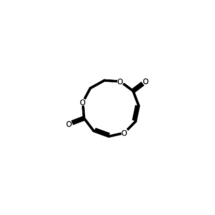 O=C1C=COC=CC(=O)OCCO1